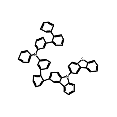 c1ccc(-c2ccccc2-c2cccc(N(c3ccccc3)c3cccc(-c4ccccc4-c4ccc5c(c4)c4ccccc4n5-c4ccc5sc6ccccc6c5c4)c3)c2)cc1